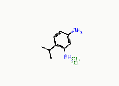 CC(C)c1ccc(N)cc1N.Cl.Cl